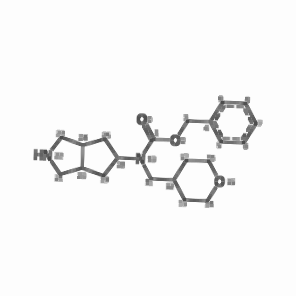 O=C(OCc1ccccc1)N(CC1CCOCC1)C1CC2CNCC2C1